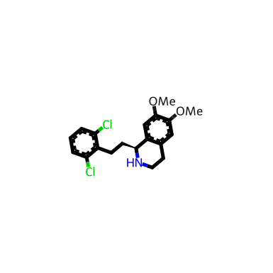 COc1cc2c(cc1OC)[C@H](CCc1c(Cl)cccc1Cl)NCC2